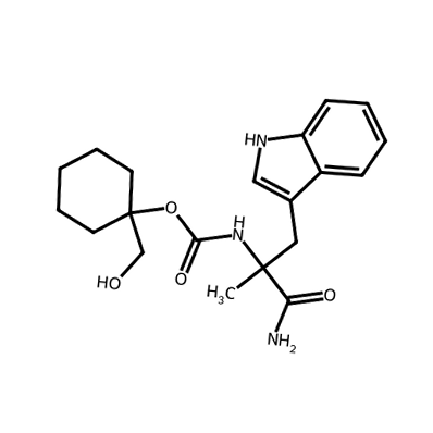 CC(Cc1c[nH]c2ccccc12)(NC(=O)OC1(CO)CCCCC1)C(N)=O